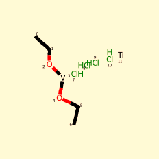 CC[O][V][O]CC.Cl.Cl.Cl.Cl.[Ti]